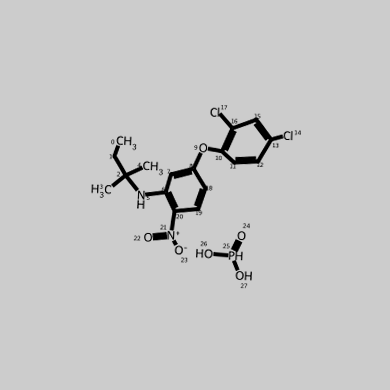 CCC(C)(C)Nc1cc(Oc2ccc(Cl)cc2Cl)ccc1[N+](=O)[O-].O=[PH](O)O